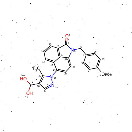 COc1ccc(CN2C(=O)c3cccc4c(-n5ncc(C(O)O)c5C(F)(F)F)ccc2c34)cc1